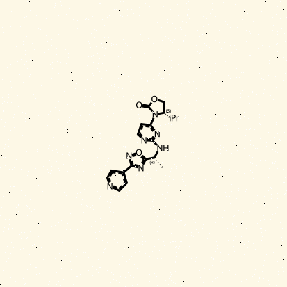 CC(C)[C@H]1COC(=O)N1c1ccnc(N[C@H](C)c2nc(-c3ccncc3)no2)n1